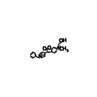 CN(CCO)c1ccc2cc(-c3cc[n+](Cc4ccccc4)cc3)c(=O)oc2c1